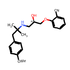 COc1ccc(CC(C)(C)NC[C@@H](O)COc2ccccc2C#N)cc1